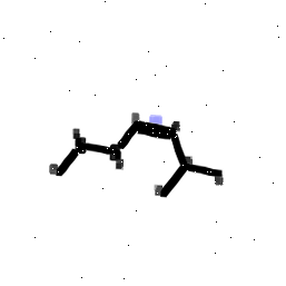 CSS/C=C\C(C)C